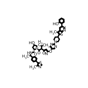 Cc1ncsc1-c1ccc([C@H](C)NC(=O)[C@@H]2C[C@@H](O)CN2C(=O)C(c2cc(Oc3cnc(N4CCC(c5sc6nnc(-c7ccccc7O)cc6c5C)CC4)nc3)no2)C(C)C)cc1